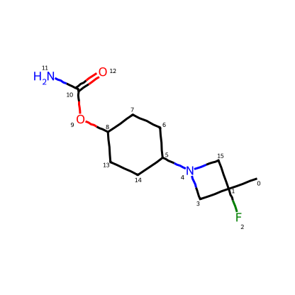 CC1(F)CN(C2CCC(OC(N)=O)CC2)C1